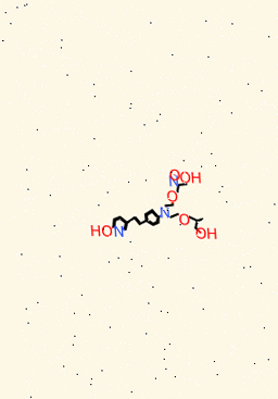 CC(CO)COCCN(CCOCC(CO)N=O)c1ccc(/C=C/c2ccc(O)nc2)cc1